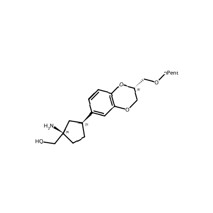 CCCCCOC[C@@H]1COc2cc([C@H]3CC[C@](N)(CO)C3)ccc2O1